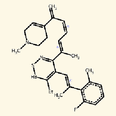 C=C(/C=C\C=C(/C)C1=NSBC(CC)=C1/C=C(\C)c1c(C)cccc1F)C1=CCN(C)CC1